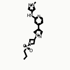 CCCS(=O)(=O)N1CC(n2cc(-c3ccnc(Nc4cnn(C)c4)c3)cn2)C1